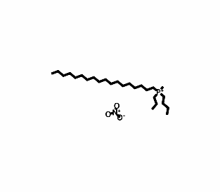 CCCCCCCCCCCCCCCCCC[P+](C)(CCC)CCCC.O=[N+]([O-])[O-]